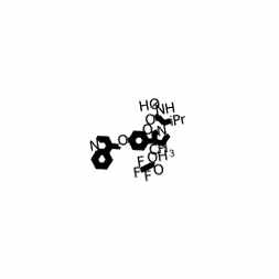 CC(C)C(C(=O)NO)N1CCC(C)(c2ccc(OCc3ccnc4ccccc34)cc2)C1=O.O=C(O)C(F)(F)F